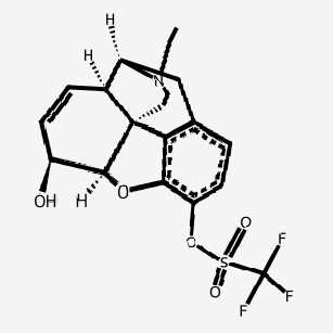 CN1CC[C@]23c4c5ccc(OS(=O)(=O)C(F)(F)F)c4O[C@H]2[C@@H](O)C=C[C@H]3[C@H]1C5